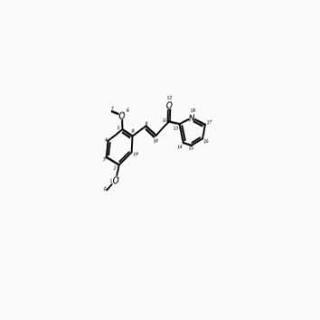 COc1ccc(OC)c(C=CC(=O)c2ccccn2)c1